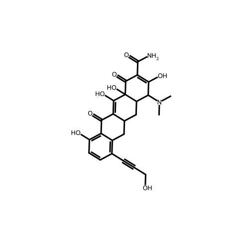 CN(C)C1C(O)=C(C(N)=O)C(=O)C2(O)C(O)=C3C(=O)c4c(O)ccc(C#CCO)c4CC3CC12